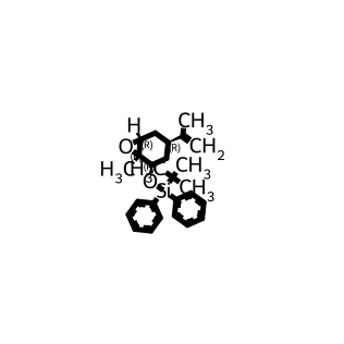 C=C(C)[C@@H]1C[C@H]2O[C@@]2(C)[C@H](O[Si](c2ccccc2)(c2ccccc2)C(C)(C)C)C1